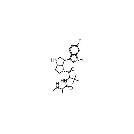 CNC(C)C(=O)NC(C(=O)N1CCC2NCC(c3c[nH]c4cc(F)ccc34)C21)C(C)(C)C